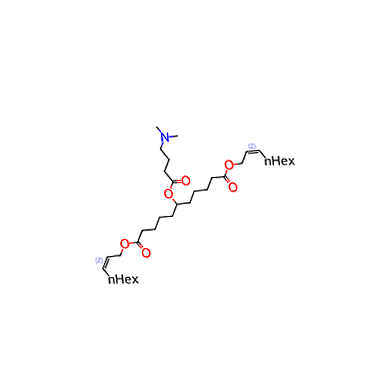 CCCCCC/C=C\COC(=O)CCCCC(CCCCC(=O)OC/C=C\CCCCCC)OC(=O)CCCN(C)C